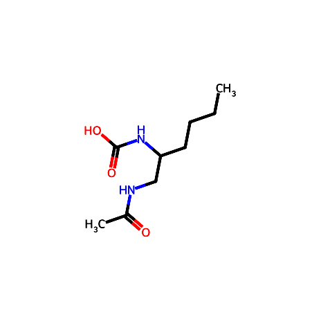 CCCCC(CNC(C)=O)NC(=O)O